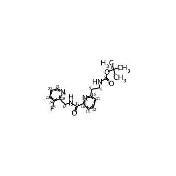 CC(C)(C)OC(=O)NCCc1cccc(C(=O)NCc2ncccc2F)n1